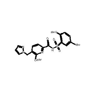 COc1ccc(C(C)(C)C)cc1S(=O)(=O)NC(=O)c1ccc(Cn2cccn2)c(OC)n1